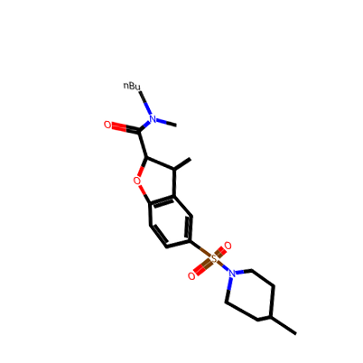 CCCCN(C)C(=O)C1Oc2ccc(S(=O)(=O)N3CCC(C)CC3)cc2C1C